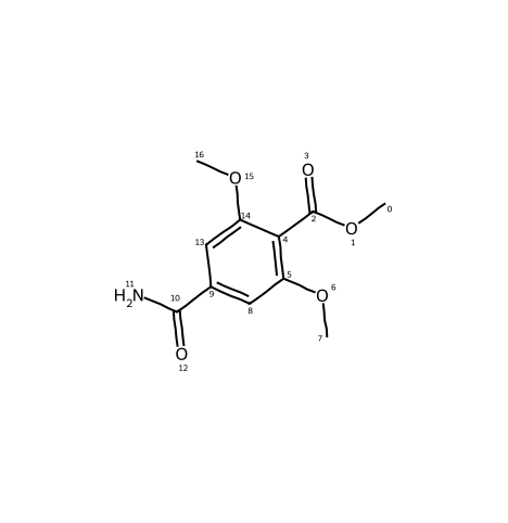 COC(=O)c1c(OC)cc(C(N)=O)cc1OC